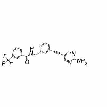 Nc1ncc(C#Cc2cccc(CNC(=O)c3cccc(C(F)(F)F)c3)c2)cn1